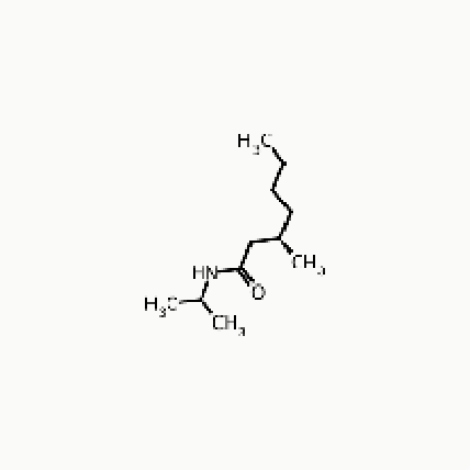 CCCC[C@@H](C)CC(=O)NC(C)C